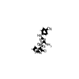 N#Cc1ccc(Nc2nc(N)n(S(=O)(=O)c3c(Cl)nc4sccn34)n2)cc1